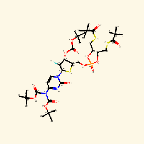 CC(C)(C)OC(=O)O[C@H]1[C@H](F)[C@H](n2ccc(N(C(=O)OC(C)(C)C)C(=O)OC(C)(C)C)nc2=O)S[C@@H]1COP(=O)(OCCSC(=O)C(C)(C)C)OCCSC(=O)C(C)(C)C